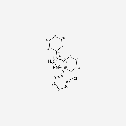 CN[C@]1(c2ccccc2Cl)CCCC[C@@H]1NC1CCCCC1